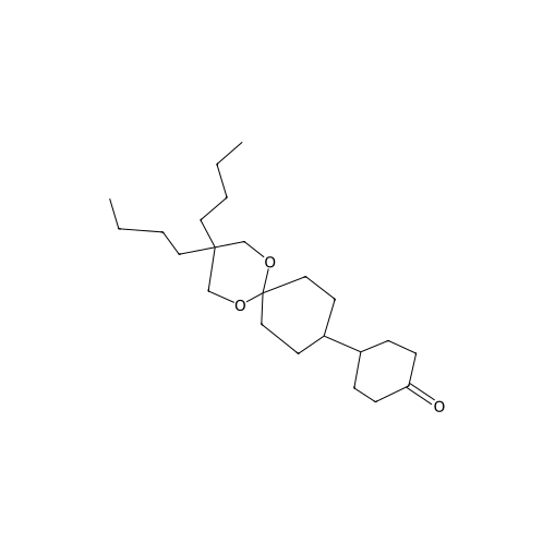 CCCCC1(CCCC)COC2(CCC(C3CCC(=O)CC3)CC2)OC1